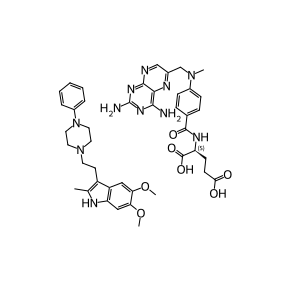 CN(Cc1cnc2nc(N)nc(N)c2n1)c1ccc(C(=O)N[C@@H](CCC(=O)O)C(=O)O)cc1.COc1cc2[nH]c(C)c(CCN3CCN(c4ccccc4)CC3)c2cc1OC